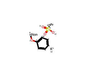 CCCCCCCCCOc1ccccc1.CCCS(=O)(=O)[O-].[K+]